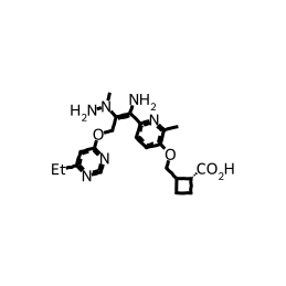 CCc1cc(OC/C(=C(/N)c2ccc(OCC3CC[C@H]3C(=O)O)c(C)n2)N(C)N)ncn1